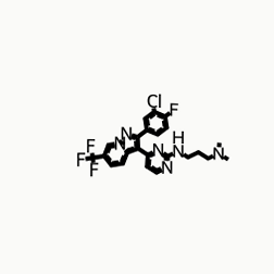 CN(C)CCCNc1nccc(-c2c(-c3ccc(F)c(Cl)c3)nn3cc(C(F)(F)F)ccc23)n1